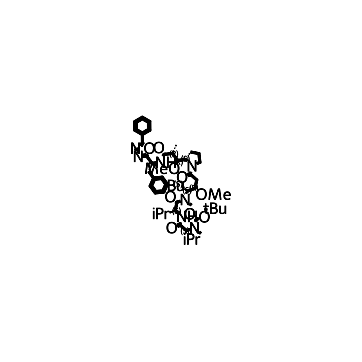 CC[C@H](C)[C@@H]([C@@H](CC(=O)N1CCC[C@H]1[C@H](OC)[C@@H](C)C(=O)N[C@H](Cc1ccccc1)c1nnc(-c2ccccc2)o1)OC)N(C)C(=O)[C@@H](NC(=O)[C@H](C(C)C)N(C)C(=O)OC(C)(C)C)C(C)C